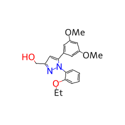 CCOc1ccccc1-n1nc(CO)cc1-c1cc(OC)cc(OC)c1